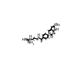 CC(C)(C)c1cc2cn(-c3ccc(C(F)NCCCNC(=N)N)cc3)c(=O)nc2[nH]1